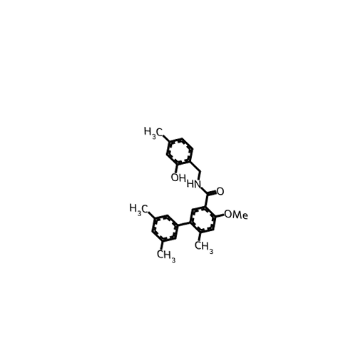 COc1cc(C)c(-c2cc(C)cc(C)c2)cc1C(=O)NCc1ccc(C)cc1O